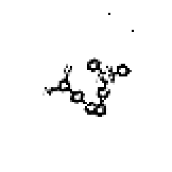 N#Cc1cc(C#N)cc(-c2ccc(-c3ccc4cccc(-c5ccc(-c6nc(-c7ccccc7)nc(-c7ccccc7)n6)cc5)c4c3)cc2)c1